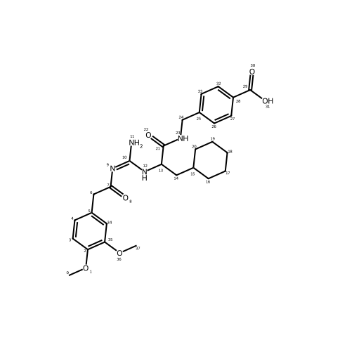 COc1ccc(CC(=O)N=C(N)NC(CC2CCCCC2)C(=O)NCc2ccc(C(=O)O)cc2)cc1OC